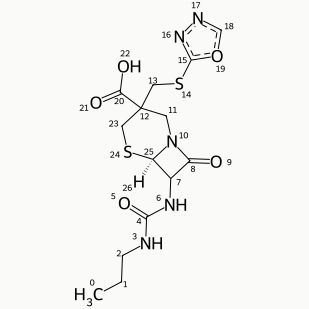 CCCNC(=O)NC1C(=O)N2CC(CSc3nnco3)(C(=O)O)CS[C@H]12